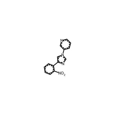 O=[N+]([O-])c1ccccc1-c1cn(-c2cccnc2)cn1